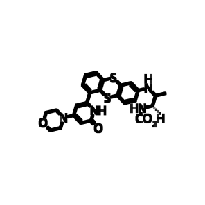 CC(Nc1ccc2c(c1)Sc1cccc(-c3cc(N4CCOCC4)cc(=O)[nH]3)c1S2)[C@H](C)NC(=O)O